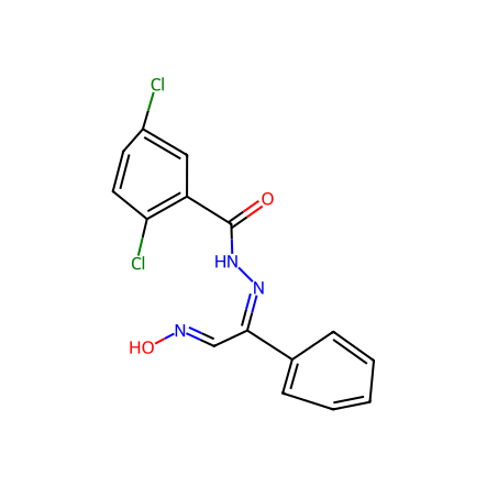 O=C(N/N=C(\C=N\O)c1ccccc1)c1cc(Cl)ccc1Cl